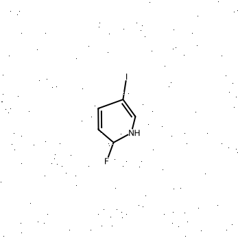 FC1C=CC(I)=CN1